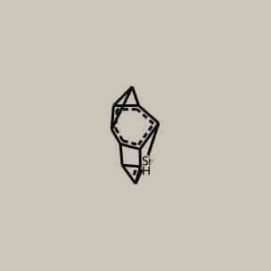 [SiH]1C2=C3c4c1c1c5c(c4C23)C15